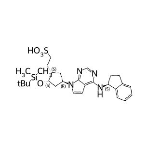 CC(C)(C)[Si](C)(C)O[C@H]1C[C@H](n2ccc3c(N[C@H]4CCc5ccccc54)ncnc32)C[C@H]1CCS(=O)(=O)O